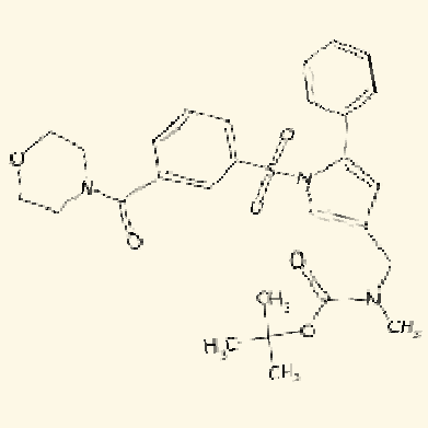 CN(Cc1cc(-c2ccccc2)n(S(=O)(=O)c2cccc(C(=O)N3CCOCC3)c2)c1)C(=O)OC(C)(C)C